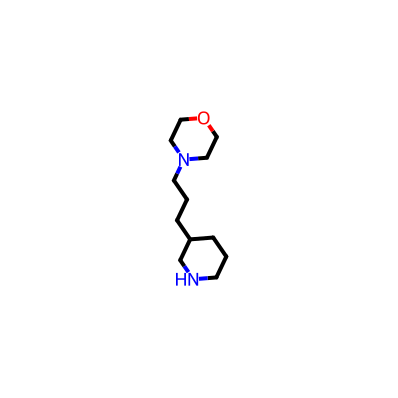 C1CNCC(CCCN2CCOCC2)C1